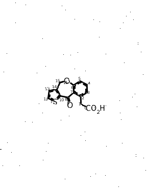 O=C(O)Cc1cccc2c1C(=O)c1sccc1CO2